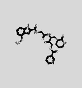 COc1cccc2[nH]c(C(=O)NCC(=O)NC(C[C@@H]3CCCNC3=O)C(=O)COC(=O)c3cccnc3)cc12